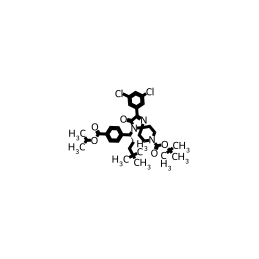 CC(C)OC(=O)c1ccc([C@@H](CCC(C)(C)C)N2C(=O)C(c3cc(Cl)cc(Cl)c3)=NC23CCN(C(=O)OC(C)(C)C)CC3)cc1